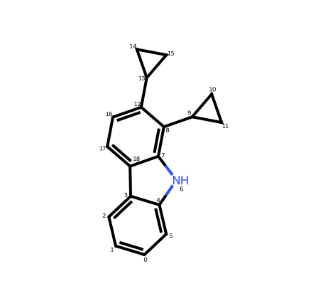 c1ccc2c(c1)[nH]c1c(C3CC3)c(C3CC3)ccc12